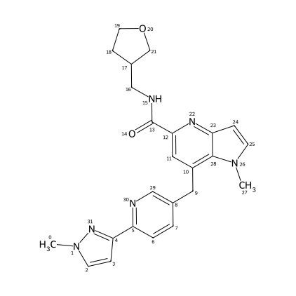 Cn1ccc(-c2ccc(Cc3cc(C(=O)NCC4CCOC4)nc4ccn(C)c34)cn2)n1